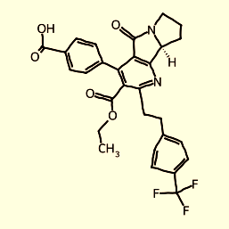 CCOC(=O)c1c(CCc2ccc(C(F)(F)F)cc2)nc2c(c1-c1ccc(C(=O)O)cc1)C(=O)N1CCC[C@@H]21